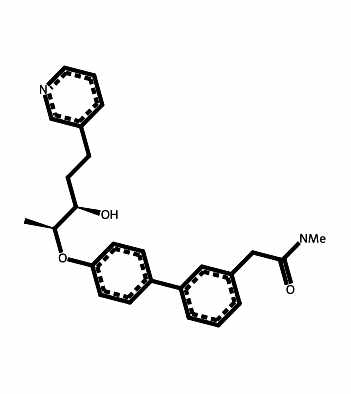 CNC(=O)Cc1cccc(-c2ccc(O[C@@H](C)[C@H](O)CCc3cccnc3)cc2)c1